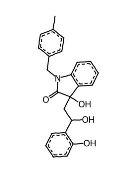 Cc1ccc(CN2C(=O)C(O)(CC(O)c3ccccc3O)c3ccccc32)cc1